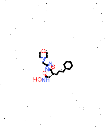 O=C(C[C@@H](CCCC1CCCCC1)c1nc(CN2CCOCC2)no1)NO